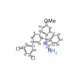 COc1ccc(C2(c3cccc(-c4cc(Cl)cc(Cl)c4)c3)N=C(N)c3ccccc32)cc1